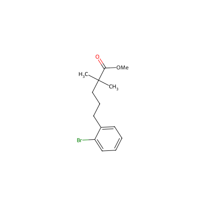 COC(=O)C(C)(C)CCCc1ccccc1Br